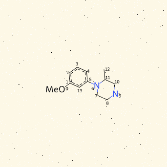 COc1cccc(N2CC[N]CC2C)c1